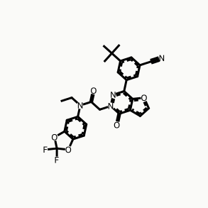 CCN(C(=O)Cn1nc(-c2cc(C#N)cc(C(C)(C)C)c2)c2occc2c1=O)c1ccc2c(c1)OC(F)(F)O2